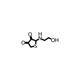 O=C1CSC(NCCO)C1=O